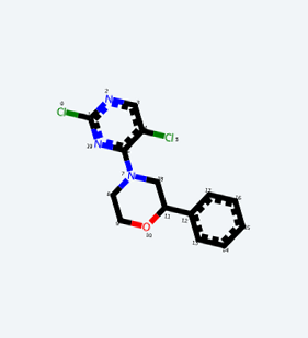 Clc1ncc(Cl)c(N2CCOC(c3ccccc3)C2)n1